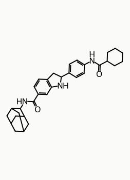 O=C(NC1C2CC3CC(C2)CC1C3)c1ccc2c(c1)NC(c1ccc(NC(=O)C3CCCCC3)cc1)C2